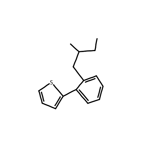 CCC(C)Cc1ccccc1-c1cccs1